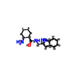 N[C@H]1CCCC[C@H]1C(=O)NCc1cc2ccccc2[nH]1